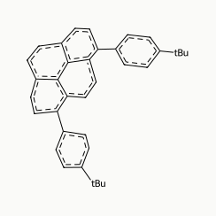 CC(C)(C)c1ccc(-c2ccc3ccc4ccc(-c5ccc(C(C)(C)C)cc5)c5ccc2c3c45)cc1